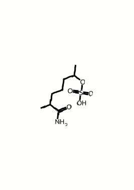 CC(CCCC(C)C(N)=O)OS(=O)(=O)O